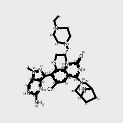 CCN1CCN(C[C@H]2CSc3c(-c4nn(C)c5cnc(N)nc45)c(Cl)cc4c(N5CC6CCC(C5)N6)nc(=O)n2c34)CC1